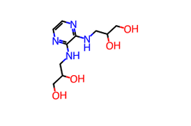 OCC(O)CNc1nccnc1NCC(O)CO